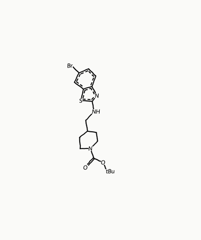 CC(C)(C)OC(=O)N1CCC(CNc2nc3ccc(Br)cc3s2)CC1